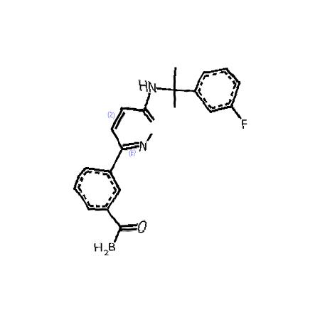 BC(=O)c1cccc(C(/C=C\C(=C)NC(C)(C)c2cccc(F)c2)=N/C)c1